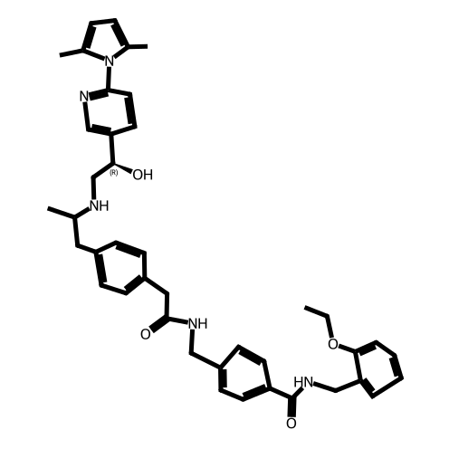 CCOc1ccccc1CNC(=O)c1ccc(CNC(=O)Cc2ccc(CC(C)NC[C@H](O)c3ccc(-n4c(C)ccc4C)nc3)cc2)cc1